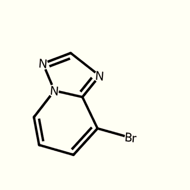 Brc1cccn2ncnc12